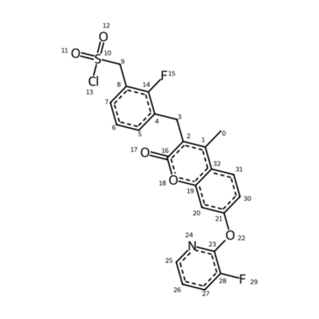 Cc1c(Cc2cccc(CS(=O)(=O)Cl)c2F)c(=O)oc2cc(Oc3ncccc3F)ccc12